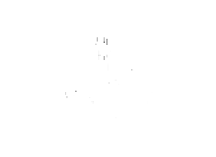 CN1C=Cc2ccccc2C1.I.I.I